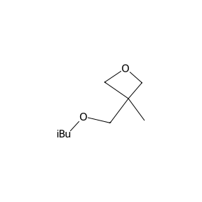 CCC(C)OCC1(C)COC1